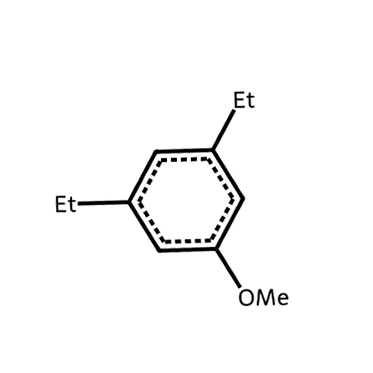 [CH2]Oc1cc(CC)cc(CC)c1